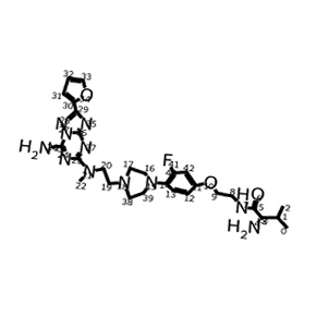 CC(C)[C@H](N)C(=O)NCCOc1ccc(N2CCN(CCN(C)c3nc(N)n4nc(-c5ccco5)nc4n3)CC2)c(F)c1